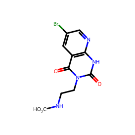 O=C(O)NCCn1c(=O)[nH]c2ncc(Br)cc2c1=O